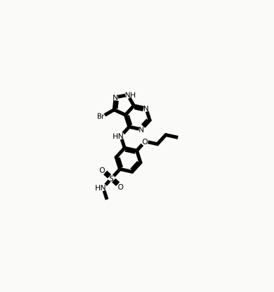 CCCOc1ccc(S(=O)(=O)NC)cc1Nc1ncnc2[nH]nc(Br)c12